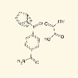 NC(=O)c1ccc(C(=O)n2c3ccc2cc3)cc1.O=C(O)C(=O)O